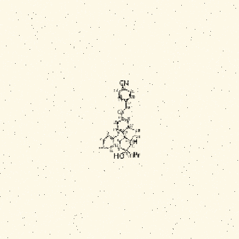 CCC[C@@]1(O)CC[C@@]2(Cc3ccccc3)c3ccc(OCc4ccc(C#N)cn4)cc3CC[C@@H]2C1